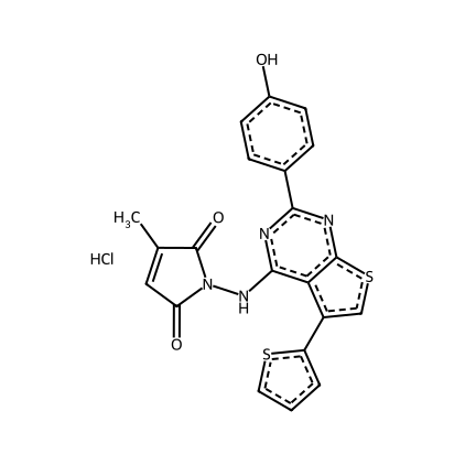 CC1=CC(=O)N(Nc2nc(-c3ccc(O)cc3)nc3scc(-c4cccs4)c23)C1=O.Cl